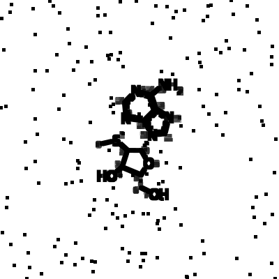 CSC1C(O)[C@@H](CO)O[C@H]1n1cnc2c(N)ncnc21